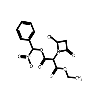 CCOC(=S)C(C(=O)OC(c1ccccc1)[N+](=O)[O-])N1C(=O)CC1Cl